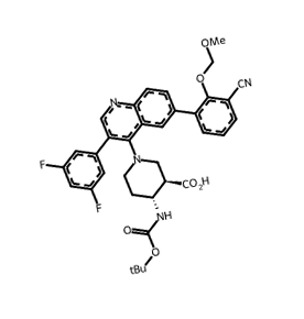 COCOc1c(C#N)cccc1-c1ccc2ncc(-c3cc(F)cc(F)c3)c(N3CC[C@@H](NC(=O)OC(C)(C)C)[C@H](C(=O)O)C3)c2c1